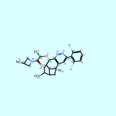 CC[C@@H](O[C@]12CC(C)C3C[C@H](c4cc(-c5c(F)cccc5F)nnc41)C3C2)C(=O)N1CC(C#N)C1